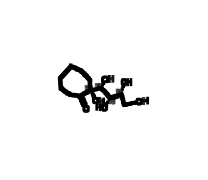 O=C1CCCCCC[C@]1(O)[C@H](O)[C@@H](O)[C@H](O)CO